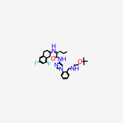 CCC[C@H](N[C@H]1CCc2cc(F)cc(F)c2C1)C(=O)Nc1cn(-c2ccccc2CNCCOC(C)(C)C)cn1